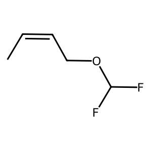 C/C=C\COC(F)F